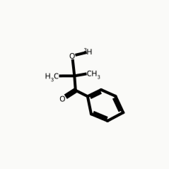 [3H]OC(C)(C)C(=O)c1ccccc1